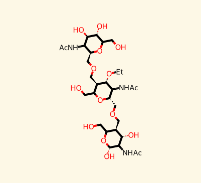 CCO[C@@H]1C(NC(C)=O)[C@H](COC[C@@H]2C(CO)O[C@@H](O)C(NC(C)=O)[C@H]2O)OC(CO)[C@H]1COC[C@@H]1OC(CO)[C@@H](O)[C@H](O)C1NC(C)=O